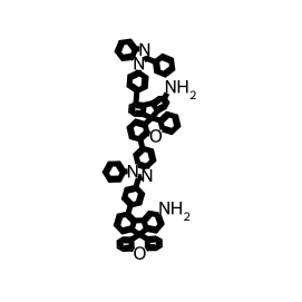 Nc1ccc2c(c1)-c1c(-c3ccc(-c4nc5ccc(-c6cccc7c6Oc6ccccc6C76c7ccc(N)cc7-c7c(-c8ccc(-n9c(-c%10ccccc%10)nc%10ccccc%109)cc8)cccc76)cc5n4-c4ccccc4)cc3)cccc1C21c2ccccc2Oc2ccccc21